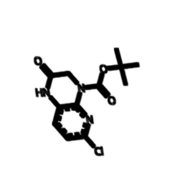 CC(C)(C)OC(=O)N1CC(=O)Nc2ccc(Cl)nc21